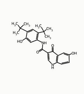 CC(C)(C)c1cc(C(C)(C)C)c(NC(=O)c2c[nH]c3ccc(O)cc3c2=O)cc1O